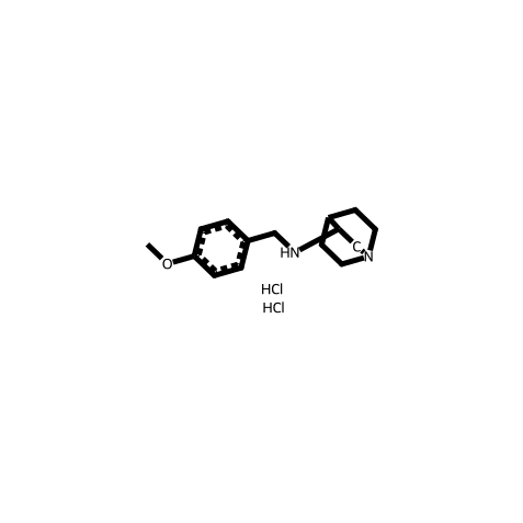 COc1ccc(CNC2CN3CCC2CC3)cc1.Cl.Cl